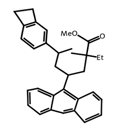 CCC(C)(CC(CC(C)c1ccc2c(c1)CC2)c1c2ccccc2cc2ccccc12)C(=O)OC